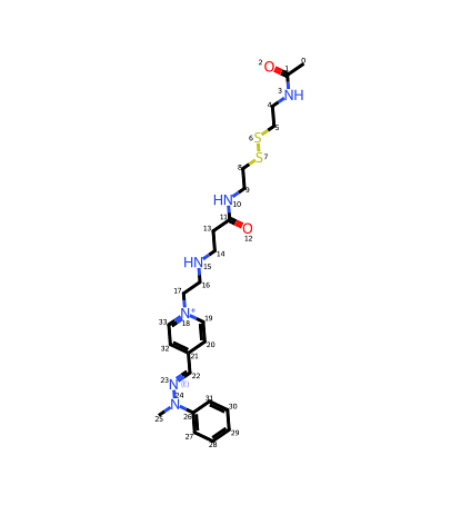 CC(=O)NCCSSCCNC(=O)CCNCC[n+]1ccc(/C=N/N(C)c2ccccc2)cc1